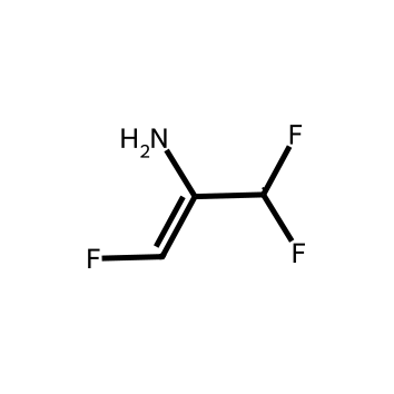 NC(=CF)[C](F)F